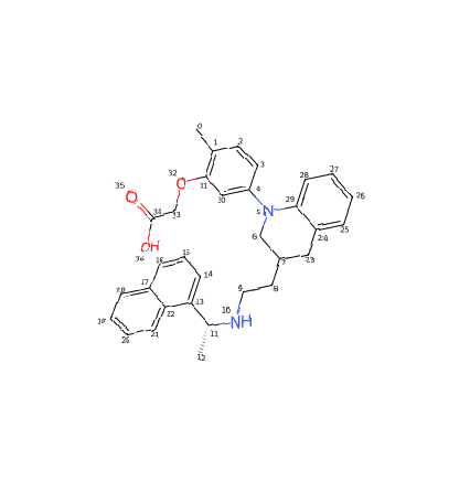 Cc1ccc(N2CC(CCN[C@H](C)c3cccc4ccccc34)Cc3ccccc32)cc1OCC(=O)O